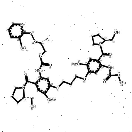 COc1cc(C(=O)N2CCC[C@H]2CO)c(NC(=O)OC[C@@H](C)SSc2ncccc2[N+](=O)[O-])cc1OCCCOc1cc(NC(=O)OC(C)(C)C)c(C(=O)N2CCC[C@H]2CO)cc1OC